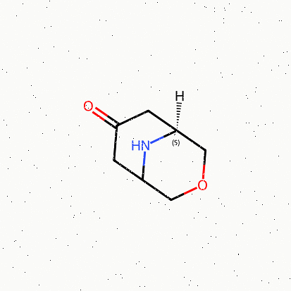 O=C1CC2COC[C@H](C1)N2